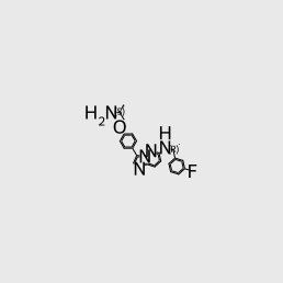 C[C@H](N)COc1ccc(-c2cnc3ccc(N[C@H](C)c4cccc(F)c4)nn23)cc1